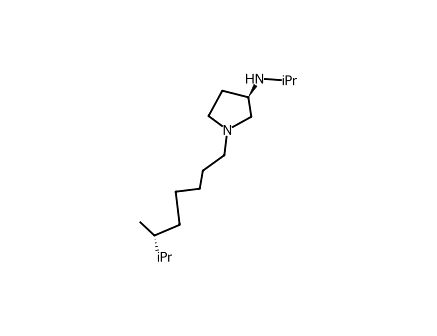 CC(C)N[C@@H]1CCN(CCCCC[C@@H](C)C(C)C)C1